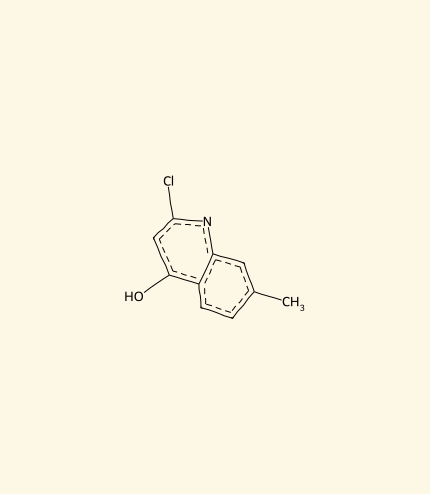 Cc1ccc2c(O)cc(Cl)nc2c1